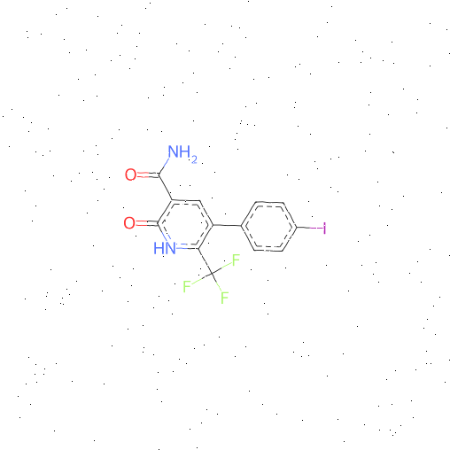 NC(=O)c1cc(-c2ccc(I)cc2)c(C(F)(F)F)[nH]c1=O